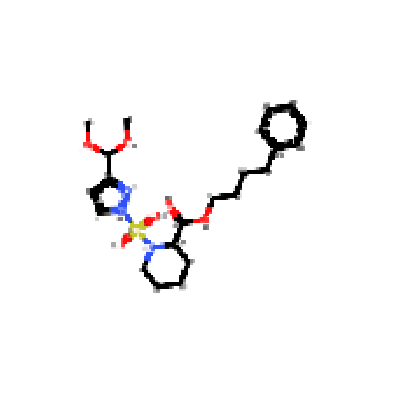 COC(OC)c1ccn(S(=O)(=O)N2CCCCC2C(=O)OCCCCc2ccccc2)n1